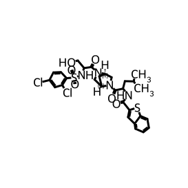 CC(C)CC(NC(=O)c1cc2ccccc2s1)C(=O)N1C[C@H]2C[C@@H]1CN2C(=O)C(CO)NS(=O)(=O)c1ccc(Cl)cc1Cl